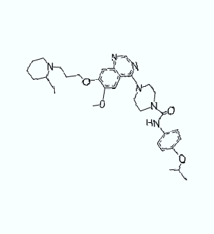 COc1cc2c(N3CCN(C(=O)Nc4ccc(OC(C)C)cc4)CC3)ncnc2cc1OCCCN1CCCCC1I